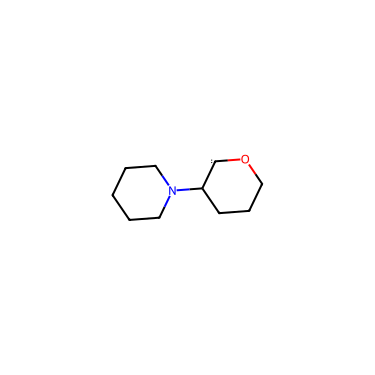 [C]1OCCCC1N1CCCCC1